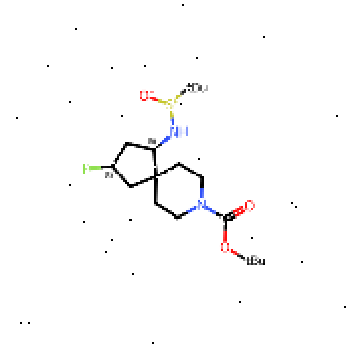 CC(C)(C)OC(=O)N1CCC2(CC1)C[C@@H](F)C[C@H]2N[S+]([O-])C(C)(C)C